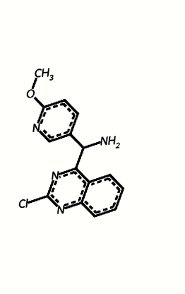 COc1ccc(C(N)c2nc(Cl)nc3ccccc23)cn1